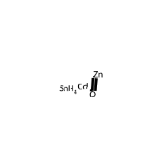 [Cd].[O]=[Zn].[SnH4]